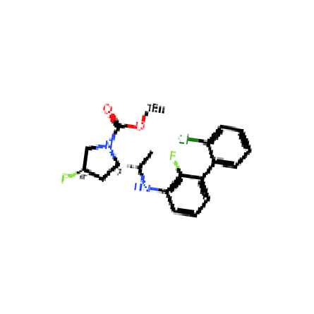 CC(Nc1cccc(-c2ccccc2Cl)c1F)[C@@H]1C[C@@H](F)CN1C(=O)OC(C)(C)C